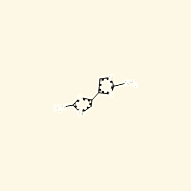 Nc1ncc(-c2cnc(N)s2)s1